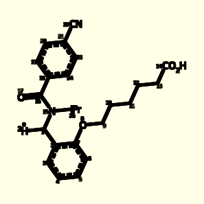 [2H]C(c1ccccc1OCCCCCC(=O)O)N(C(=O)c1ccc(C#N)cc1)C(C)C